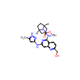 Cc1cc(Nc2cc3nc(CO)ccc3c(N[C@@H]3C[C@H]4CC[C@@H](C3)N4C(=O)OC(C)(C)C)n2)n[nH]1